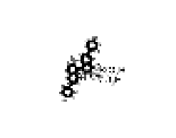 [2H]c1ccc2cc(-c3ccccc3)ccc2c1-c1c([2H])c(OCC(=O)O)c(OCC(=O)O)c2cc(-c3ccccc3)ccc12